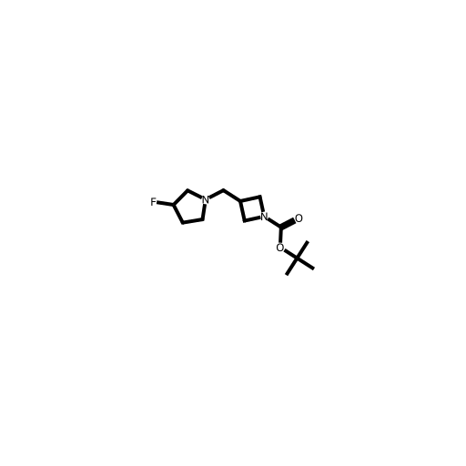 CC(C)(C)OC(=O)N1CC(CN2CCC(F)C2)C1